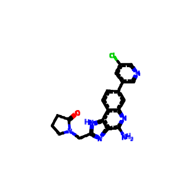 Nc1nc2cc(-c3cncc(Cl)c3)ccc2c2[nH]c(CN3CCCC3=O)nc12